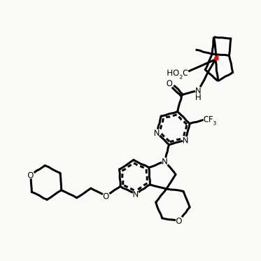 CC12CC3CC1CC2CC3(NC(=O)c1cnc(N2CC3(CCOCC3)c3nc(OCCC4CCOCC4)ccc32)nc1C(F)(F)F)C(=O)O